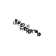 O=C(NC12CC(C1)C2)O[C@@H]1CO[C@H](c2cc(Nc3nccc4nc(CN5CC(n6cccn6)C5)cn34)n[nH]2)[C@@H]1F